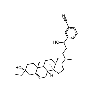 CC[C@]1(O)CC[C@@]2(C)C(=CC[C@@H]3C2CC[C@]2(C)[C@@H]([C@H](C)CCC(O)c4cccc(C#N)c4)CC[C@@H]32)C1